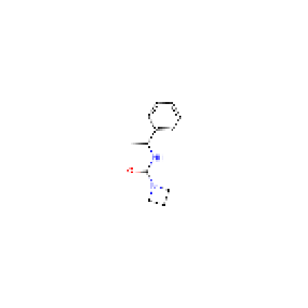 CC(NC(=O)N1CCC1)c1ccccc1